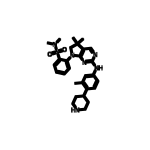 Cc1cc(Nc2ncc3c(n2)N(c2ccccc2S(=O)(=O)N(C)C)CC3(C)C)ccc1C1CCNCC1